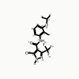 Cc1c(NC(=O)c2c(C(F)(F)F)nn(C)c2Cl)cccc1OC(C)C